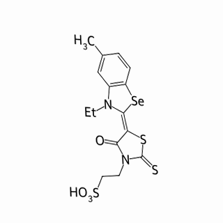 CCN1C(=C2SC(=S)N(CCS(=O)(=O)O)C2=O)[Se]c2ccc(C)cc21